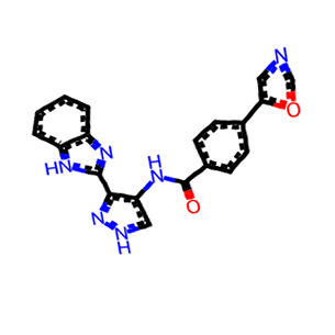 O=C(Nc1c[nH]nc1-c1nc2ccccc2[nH]1)c1ccc(-c2cnco2)cc1